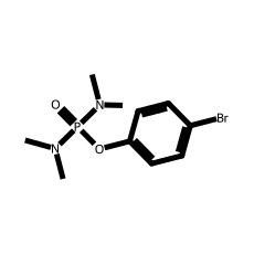 CN(C)P(=O)(Oc1ccc(Br)cc1)N(C)C